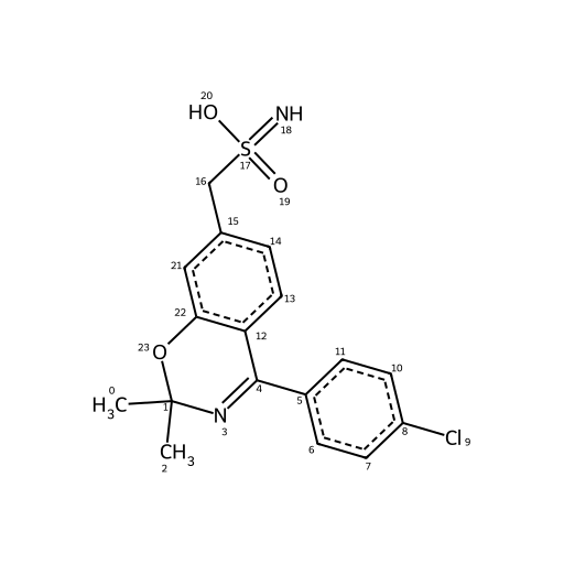 CC1(C)N=C(c2ccc(Cl)cc2)c2ccc(CS(=N)(=O)O)cc2O1